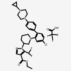 CCOC(=O)c1cnn(C2CCCN(c3cc(Cl)ccc3-c3ccc(N4CCN(C5CC5)CC4)cc3)C2)c1C(F)F.O=C(O)C(F)(F)F